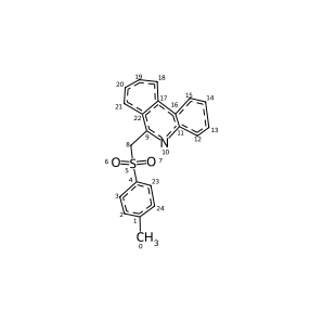 Cc1ccc(S(=O)(=O)Cc2nc3ccccc3c3ccccc23)cc1